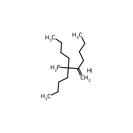 C=C(CCCC)C(P)(CCCC)CCCC.I